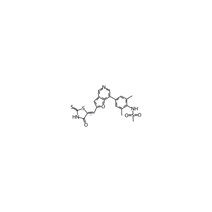 Cc1cc(-c2cncc3cc(/C=C4\SC(=S)NC4=O)oc23)cc(C)c1NS(C)(=O)=O